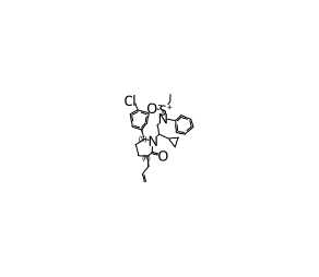 C=CC[C@H]1CC[C@@H](c2ccc(Cl)cc2)N(C(CN(c2ccccc2)[S+]([O-])CC)C2CC2)C1=O